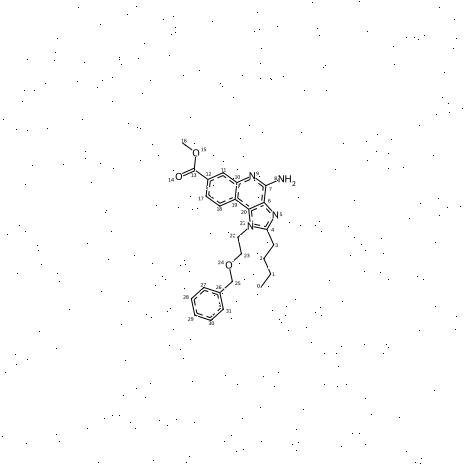 CCCCc1nc2c(N)nc3cc(C(=O)OC)ccc3c2n1CCOCc1ccccc1